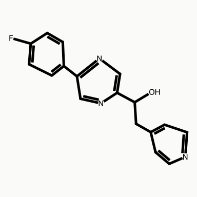 OC(Cc1ccncc1)c1cnc(-c2ccc(F)cc2)cn1